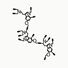 C#CCOc1cc2c(CC(C#CCOc3ccc4c(c(CC(C#CCOc5cc(C#C)c6c(c5)c(CCN(CC#C)CC#C)cn6CC#C)N(CC#C)CC#C)cn4CC#C)c3C#C)N(CC#C)CC#C)cn(CC#C)c2cc1C#C